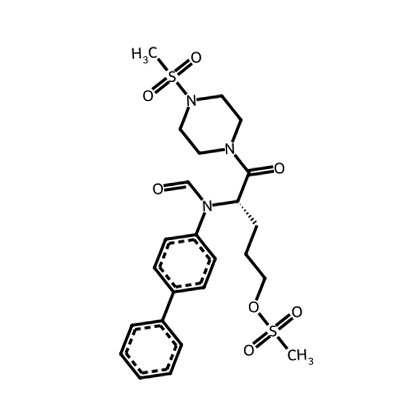 CS(=O)(=O)OCCC[C@@H](C(=O)N1CCN(S(C)(=O)=O)CC1)N(C=O)c1ccc(-c2ccccc2)cc1